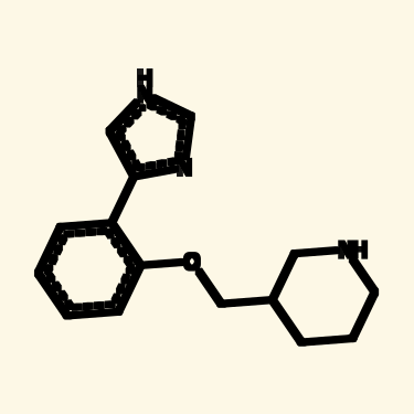 c1ccc(-c2c[nH]cn2)c(OCC2CCCNC2)c1